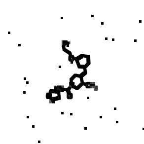 CC(C)CCOc1cccc(/C=C2\CCN(C(=O)Nc3cnoc3)CC2C)c1